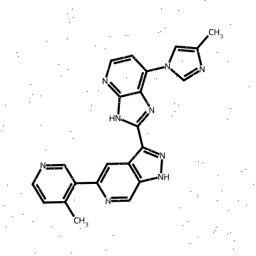 Cc1cn(-c2ccnc3[nH]c(-c4n[nH]c5cnc(-c6cnccc6C)cc45)nc23)cn1